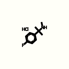 CNC(C)(C)c1ccc(F)cc1.Cl